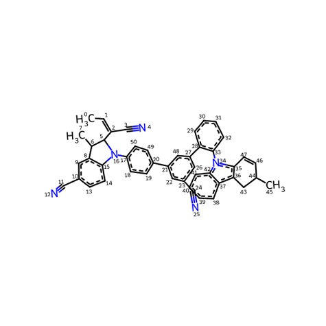 C/C=C(/C#N)C1C(C)c2cc(C#N)ccc2N1c1ccc(-c2cc(C#N)cc(-c3ccccc3-n3c4c(c5ccccc53)CC(C)C=C4)c2)cc1